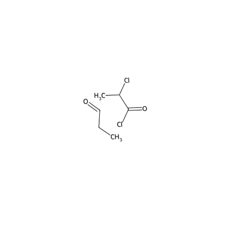 CC(Cl)C(=O)Cl.CCC=O